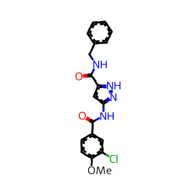 COc1ccc(C(=O)Nc2cc(C(=O)NCc3ccccc3)[nH]n2)cc1Cl